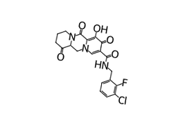 O=C(NCc1cccc(Cl)c1F)c1cn2c(c(O)c1=O)C(=O)N1CCCC(=O)C1C2